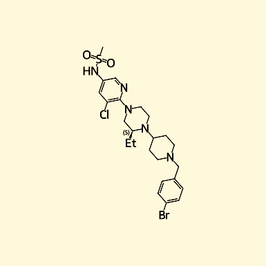 CC[C@H]1CN(c2ncc(NS(C)(=O)=O)cc2Cl)CCN1C1CCN(Cc2ccc(Br)cc2)CC1